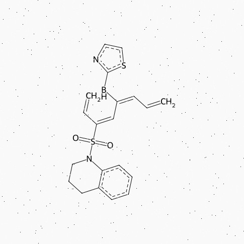 C=C/C=C(Bc1nccs1)\C=C(/C=C)S(=O)(=O)N1CCCc2ccccc21